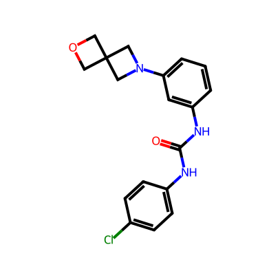 O=C(Nc1ccc(Cl)cc1)Nc1cccc(N2CC3(COC3)C2)c1